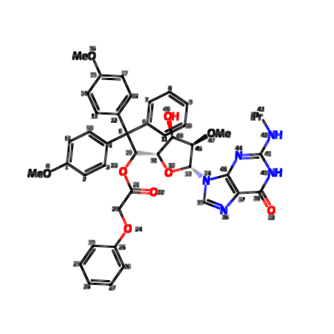 COc1ccc(C(c2ccccc2)(c2ccc(OC)cc2)C(OC(=O)COc2ccccc2)[C@H]2O[C@@H](n3cnc4c(=O)[nH]c(NC(C)C)nc43)[C@H](OC)[C@@H]2O)cc1